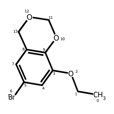 CCOc1cc(Br)cc2c1OCOC2